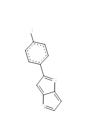 Clc1ccc(C2=NC3=CC=NC3=C2)cc1